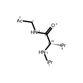 CC(=O)CNC(=O)[C@@H](NC(C)C)C(C)C